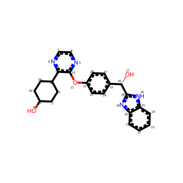 OC1CCC(c2nccnc2Oc2ccc([C@H](O)c3nc4ccccc4[nH]3)cc2)CC1